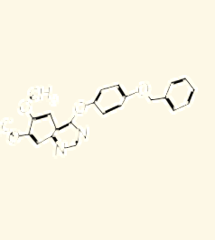 COc1cc2ncnc(Oc3ccc(OCc4ccccc4)cc3)c2cc1OC